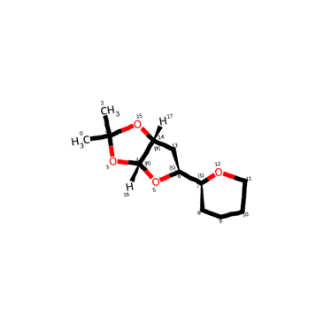 CC1(C)O[C@H]2O[C@H]([C@@H]3CCCCO3)C[C@H]2O1